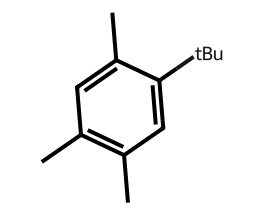 Cc1cc(C)c(C(C)(C)C)cc1C